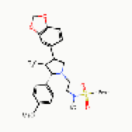 CCCCCS(=O)(=O)N(CC)CCN1CC(c2ccc3c(c2)OCO3)[C@H](C(=O)O)[C@H]1c1ccc(OC)cc1